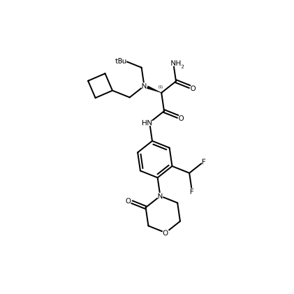 CC(C)(C)CN(CC1CCC1)[C@@H](C(N)=O)C(=O)Nc1ccc(N2CCOCC2=O)c(C(F)F)c1